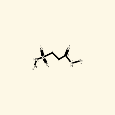 CCNC(=O)CCS(=O)(=O)NC(C)C